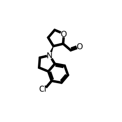 O=CC1OCC[C@@H]1N1CCc2c(Cl)cccc21